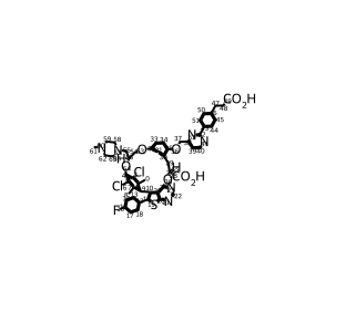 Cc1c(Cl)c2c(Cl)c(C)c1-c1c(-c3ccc(F)cc3)sc3ncnc(c13)O[C@@H](C(=O)O)Cc1cc(ccc1OCc1ccnc(-c3ccc(CCC(=O)O)cc3)n1)OC[C@@H](CN1CCN(C)CC1)O2